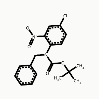 CC(C)(C)OC(=O)N(Cc1ccccc1)c1ccc(Cl)cc1[N+](=O)[O-]